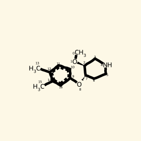 CO[C@H]1CNCC[C@@H]1Oc1ccc(C)c(C)c1